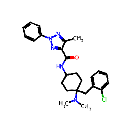 Cc1nn(-c2ccccc2)nc1C(=O)NC1CCC(Cc2ccccc2Cl)(N(C)C)CC1